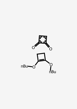 CCCCOC1=C(OCCCC)CC1.O=c1ccc1=O